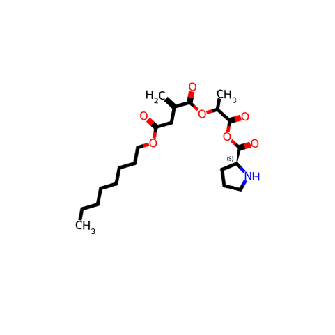 C=C(CC(=O)OCCCCCCCC)C(=O)OC(C)C(=O)OC(=O)[C@@H]1CCCN1